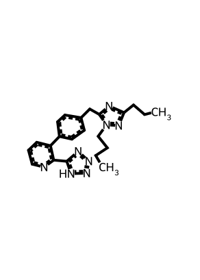 CCCCn1nc(CCC)nc1Cc1ccc(-c2cccnc2-c2nnn[nH]2)cc1